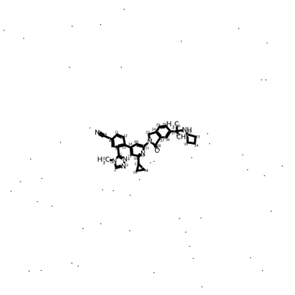 Cn1cnnc1-c1cc(C#N)ccc1-c1cc(C2CC2)nc(N2Cc3ccc(C(C)(C)NC4CCC4)cc3C2=O)c1